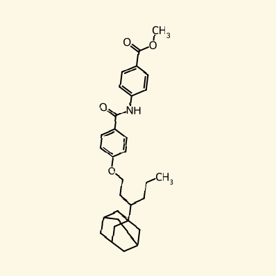 CCCC(CCOc1ccc(C(=O)Nc2ccc(C(=O)OC)cc2)cc1)C12CC3CC(CC(C3)C1)C2